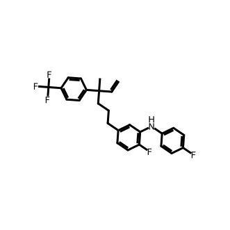 C=CC(C)(CCCc1ccc(F)c(Nc2ccc(F)cc2)c1)c1ccc(C(F)(F)F)cc1